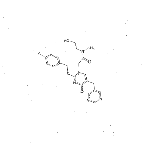 CN(CCO)C(=O)Cn1cc(Cc2cncnc2)c(=O)nc1SCc1ccc(F)cc1